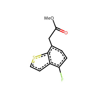 COC(=O)Cc1ccc(F)c2ccsc12